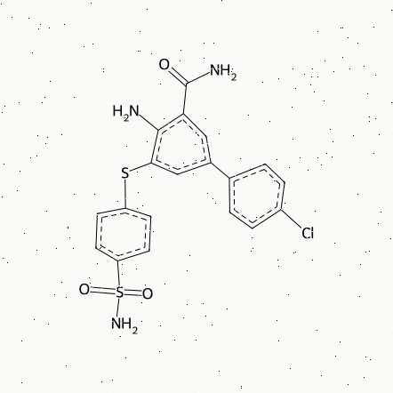 NC(=O)c1cc(-c2ccc(Cl)cc2)cc(Sc2ccc(S(N)(=O)=O)cc2)c1N